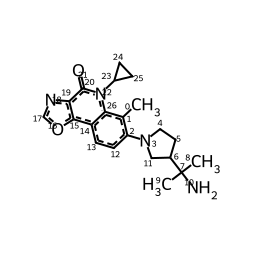 Cc1c(N2CCC(C(C)(C)N)C2)ccc2c3ocnc3c(=O)n(C3CC3)c12